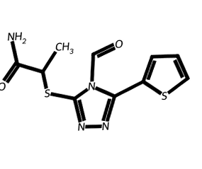 CC(Sc1nnc(-c2cccs2)n1C=O)C(N)=O